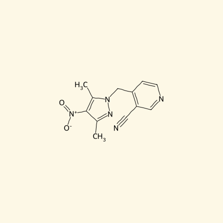 Cc1nn(Cc2ccncc2C#N)c(C)c1[N+](=O)[O-]